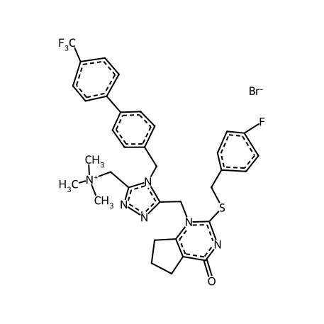 C[N+](C)(C)Cc1nnc(Cn2c(SCc3ccc(F)cc3)nc(=O)c3c2CCC3)n1Cc1ccc(-c2ccc(C(F)(F)F)cc2)cc1.[Br-]